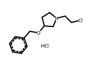 Cl.ClCCN1CCC(OCc2ccccc2)C1